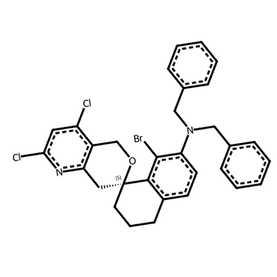 Clc1cc(Cl)c2c(n1)C[C@]1(CCCc3ccc(N(Cc4ccccc4)Cc4ccccc4)c(Br)c31)OC2